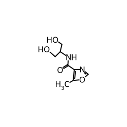 Cc1ocnc1C(=O)NC(CO)CO